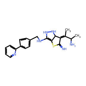 C/C(=C1/C(=N)SC2=C(NCc3ccc(-c4ccccn4)cc3)NNC21)C(C)N